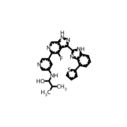 CC(C)C(O)Nc1cncc(-c2ncc3[nH]nc(-c4nc5c(-c6cccs6)cccc5[nH]4)c3c2F)c1